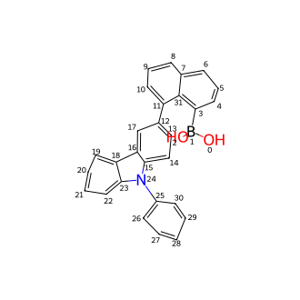 OB(O)c1cccc2cccc(-c3ccc4c(c3)c3ccccc3n4-c3ccccc3)c12